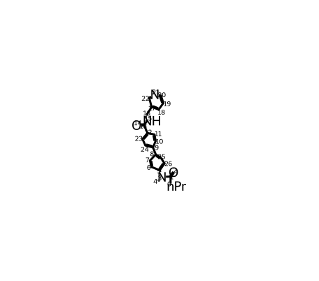 CCCC(=O)N(C)c1ccc(-c2ccc(C(=O)NCc3cccnc3)cc2)cc1